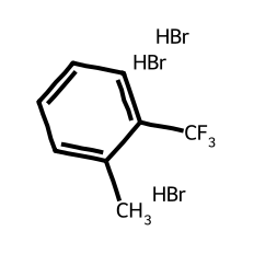 Br.Br.Br.Cc1ccccc1C(F)(F)F